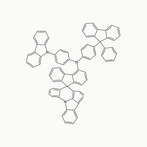 c1ccc(C2(c3ccc(N(c4ccc(-n5c6ccccc6c6ccccc65)cc4)c4cccc5c4-c4ccccc4C54c5ccccc5-n5c6ccccc6c6cccc4c65)cc3)c3ccccc3-c3ccccc32)cc1